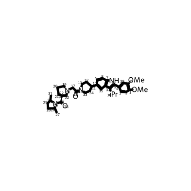 COc1ccc(-c2[nH]c3ccc(C4CCN(C(=O)CN5CCC[C@H](C(=O)N6C(C)CCC6C)C5)CC4)cc3c2C(C)C)cc1OC